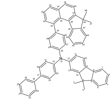 CC1(C)c2ccccc2-c2ccc(N(c3ccc(-c4ccccc4)cc3)c3ccc(-c4cccc5ccc6c(c45)-c4ccccc4C6(C)C)cc3)cc21